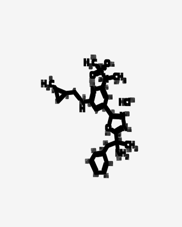 CC1CC1CNc1cc(-c2nnc(C(C)(N)Cc3ccccc3)o2)cc(N(C)S(C)(=O)=O)n1.Cl